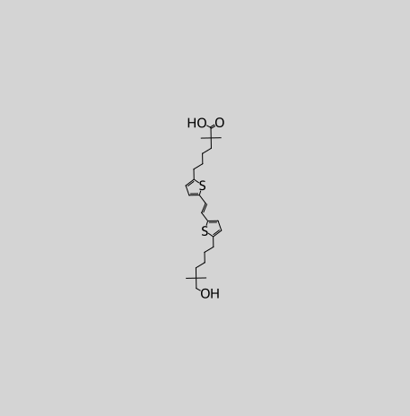 CC(C)(CO)CCCCc1ccc(C=Cc2ccc(CCCCC(C)(C)C(=O)O)s2)s1